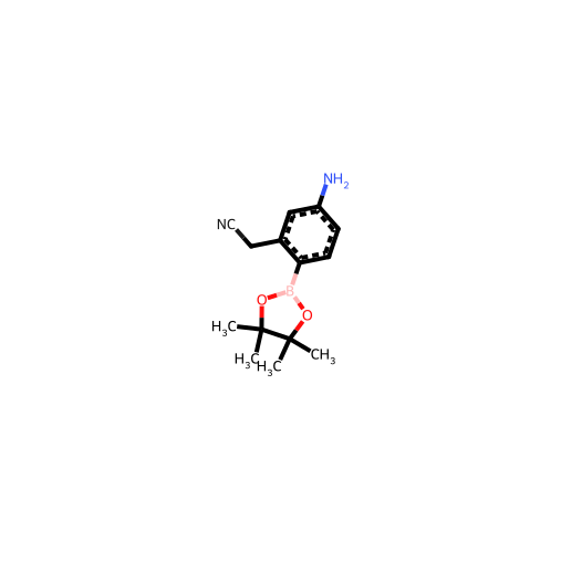 CC1(C)OB(c2ccc(N)cc2CC#N)OC1(C)C